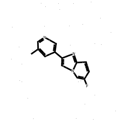 Cc1cncc(-c2cn3cc(F)ccc3n2)c1